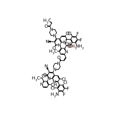 C=CC(=O)N1CCN(c2c(C#N)c(=O)n(-c3c(C)cc(/C=C\C(=O)N4CCN(c5c(C#N)c(=O)n(-c6c(C)ccnc6C(C)C)c6nc(-c7c(Cl)c(N)c(F)c(F)c7Cl)c(Cl)cc56)CC4)nc3C(C)C)c3nc(-c4c(Cl)c(N)c(F)c(F)c4Cl)c(Cl)cc23)CC1